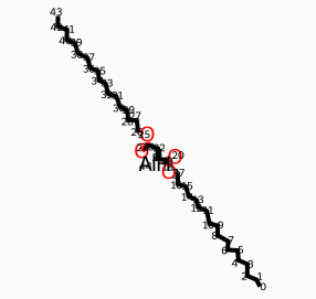 CCCCCCCCCCCCCCCCCCOC(=O)/C=C/C(=O)OCCCCCCCCCCCCCCCCCC.[AlH3]